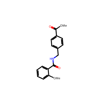 COC(=O)c1ccc(CNC(=O)c2ccccc2OC)cc1